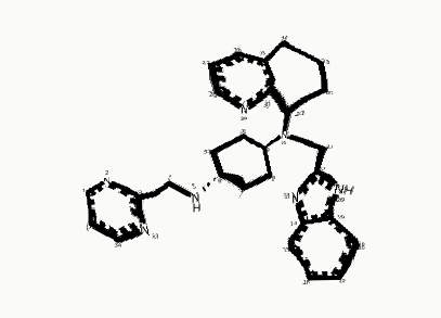 c1cnc(CN[C@H]2CC[C@H](N(Cc3nc4ccccc4[nH]3)C3CCCc4cccnc43)CC2)nc1